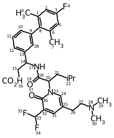 Cc1cc(F)cc(C)c1-c1cccc(C(CC(=O)O)NC(=O)C(CC(C)C)n2cc(CCN(C)C)cc(C(F)F)c2=O)c1